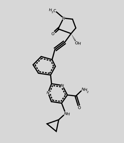 CN1CC[C@@](O)(C#Cc2cccc(-c3ncc(NC4CC4)c(C(N)=O)n3)c2)C1=O